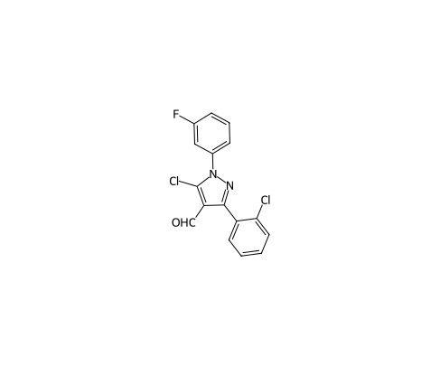 O=Cc1c(-c2ccccc2Cl)nn(-c2cccc(F)c2)c1Cl